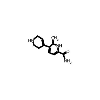 CC1NC(C(N)=O)=CC=C1C1=CCNCC1